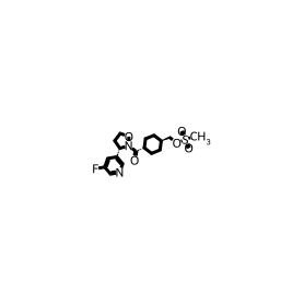 CS(=O)(=O)OC[C@H]1CC[C@H](C(=O)N2OCC[C@H]2c2cncc(F)c2)CC1